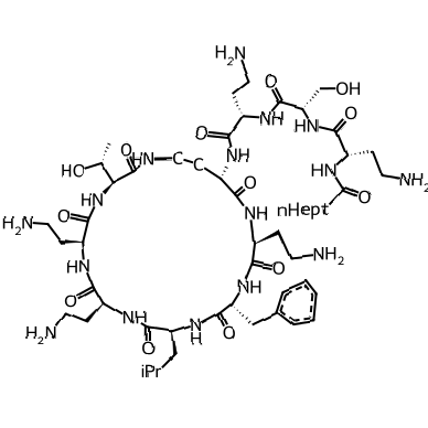 CCCCCCCC(=O)N[C@@H](CCN)C(=O)N[C@@H](CO)C(=O)N[C@@H](CCN)C(=O)N[C@H]1CCNC(=O)[C@H]([C@@H](C)O)NC(=O)[C@H](CCN)NC(=O)[C@H](CCN)NC(=O)[C@H](CC(C)C)NC(=O)[C@@H](Cc2ccccc2)NC(=O)[C@H](CCN)NC1=O